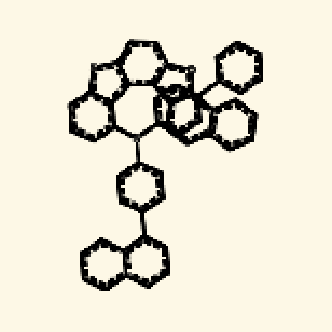 c1ccc(-c2ccc(N(c3ccc(-c4cccc5ccccc45)cc3)c3cccc4sc5ccc6oc7c8ccccc8ccc7c6c5c34)cc2)cc1